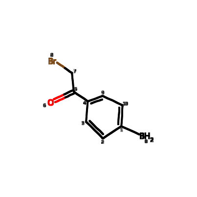 Bc1ccc(C(=O)CBr)cc1